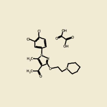 CC(=O)c1c(OCCN2CCCCC2)nn(-c2ccc(Cl)c(Cl)c2)c1C.O=C(O)C(=O)O